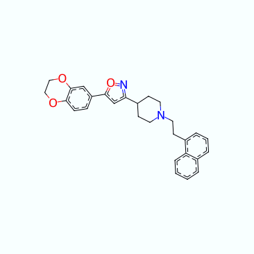 c1ccc2c(CCN3CCC(c4cc(-c5ccc6c(c5)OCCO6)on4)CC3)cccc2c1